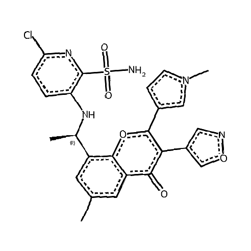 Cc1cc([C@@H](C)Nc2ccc(Cl)nc2S(N)(=O)=O)c2oc(-c3ccn(C)c3)c(-c3cnoc3)c(=O)c2c1